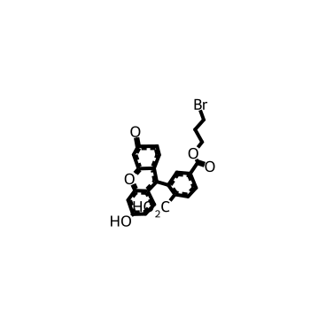 O=C(OCCCBr)c1ccc(C(=O)O)c(-c2c3ccc(=O)cc-3oc3cc(O)ccc23)c1